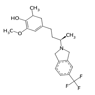 COC1=C(O)C(C)CC(CC[C@@H](C)N2Cc3ccc(C(F)(F)F)cc3C2)=C1